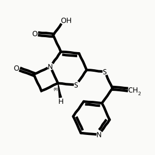 C=C(SC1C=C(C(=O)O)N2C(=O)C[C@H]2S1)c1cccnc1